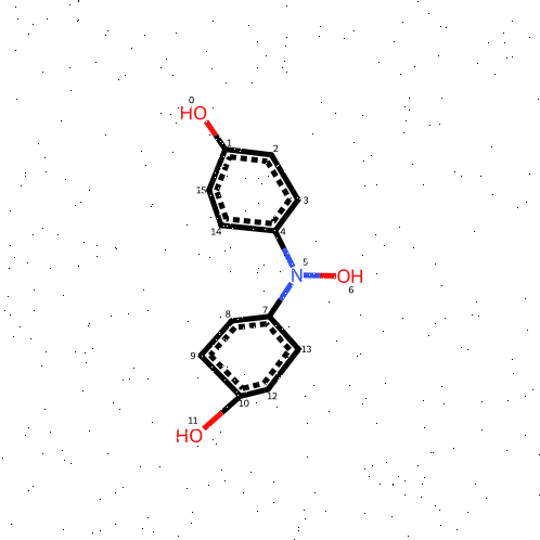 Oc1ccc(N(O)c2ccc(O)cc2)cc1